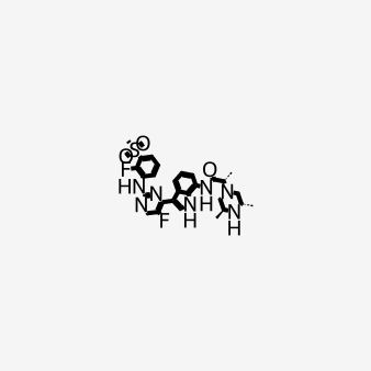 C[C@H]1CN([C@@H](C)C(=O)Nc2cccc3c(-c4nc(Nc5cccc(S(C)(=O)=O)c5F)ncc4F)c[nH]c23)C[C@H](C)N1